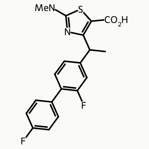 CNc1nc(C(C)c2ccc(-c3ccc(F)cc3)c(F)c2)c(C(=O)O)s1